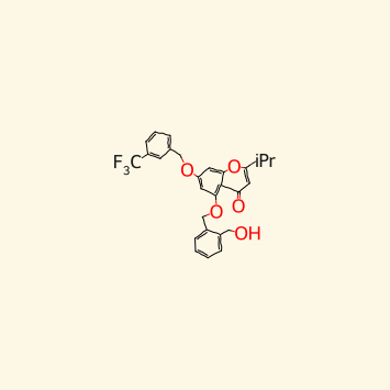 CC(C)c1cc(=O)c2c(OCc3ccccc3CO)cc(OCc3cccc(C(F)(F)F)c3)cc2o1